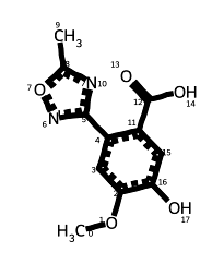 COc1cc(-c2noc(C)n2)c(C(=O)O)cc1O